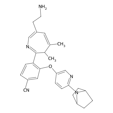 CC1=CC(CCN)=CN=C(c2ccc(C#N)cc2Oc2ccc(N3C4CCC3CC4)nc2)C1C